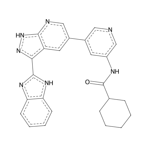 O=C(Nc1cncc(-c2cnc3[nH]nc(-c4nc5ccccc5[nH]4)c3c2)c1)C1CCCCC1